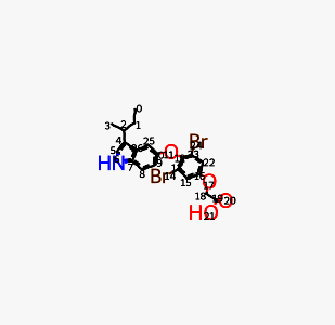 CCC(C)c1c[nH]c2ccc(Oc3c(Br)cc(OCC(=O)O)cc3Br)cc12